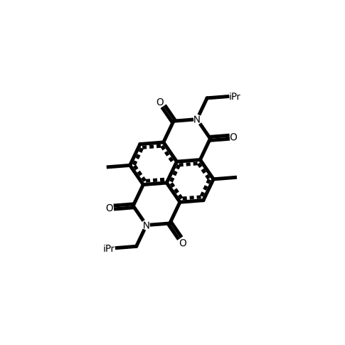 Cc1cc2c3c(c(C)cc4c3c1C(=O)N(CC(C)C)C4=O)C(=O)N(CC(C)C)C2=O